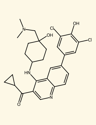 CN(C)CC1(O)CCC(Nc2c(C(=O)C3CC3)cnc3ccc(-c4cc(Cl)c(O)c(Cl)c4)cc23)CC1